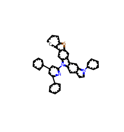 c1ccc(-c2cc(-c3ccccc3)nc(-n3c4cc5ccn(-c6ccccc6)c5cc4c4cc5sc6ccccc6c5cc43)c2)cc1